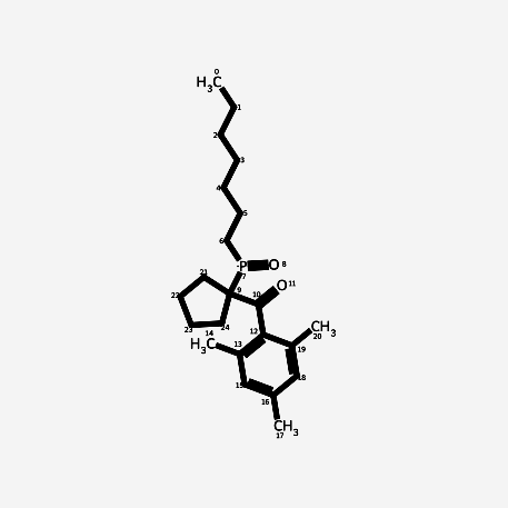 CCCCCCC[P](=O)C1(C(=O)c2c(C)cc(C)cc2C)CCCC1